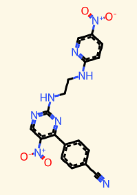 N#Cc1ccc(-c2nc(NCCNc3ccc([N+](=O)[O-])cn3)ncc2[N+](=O)[O-])cc1